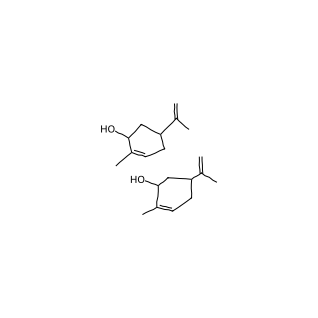 C=C(C)C1CC=C(C)C(O)C1.C=C(C)C1CC=C(C)C(O)C1